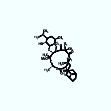 CO[C@]1(C)C[C@@H](C)CN(C)[C@H](C2CC3CCC(C2)N3C(=O)CN(C)C)COC(=O)C(C)(C)C(=O)[C@H](C)[C@H]1O[C@@H]1O[C@H](C)C[C@H](N(C)C)[C@H]1O